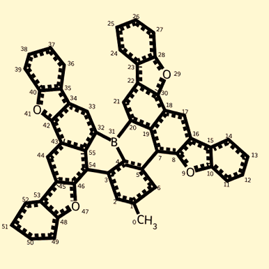 Cc1cc2c3c(c1)-c1c4oc5ccccc5c4cc4c1c(cc1c5ccccc5oc41)B3c1cc3c4ccccc4oc3c3cc4c(oc5ccccc54)c-2c13